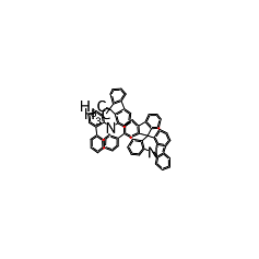 CC1(C)c2ccccc2-c2cccc(N(c3ccccc3-c3ccccc3)c3ccccc3-c3ccc4c(c3)C3(c5ccccc5-4)c4ccccc4-n4c5ccccc5c5cccc3c54)c21